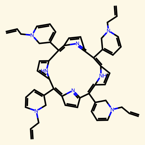 C=CCN1C=CC=C(c2c3nc(c(C4=CC=CN(CC=C)C4)c4ccc([nH]4)c(C4=CC=CN(CC=C)C4)c4nc(c(C5=CC=CN(CC=C)C5)c5ccc2[nH]5)C=C4)C=C3)C1